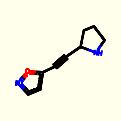 C(#CC1CCCN1)c1ccno1